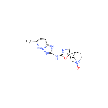 Cc1ccc2nc(NC3=NC[C@@]4(C[N+]5([O-])CCC4CC5)O3)nn2n1